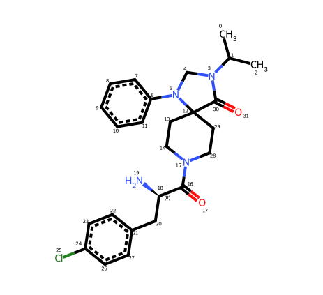 CC(C)N1CN(c2ccccc2)C2(CCN(C(=O)[C@H](N)Cc3ccc(Cl)cc3)CC2)C1=O